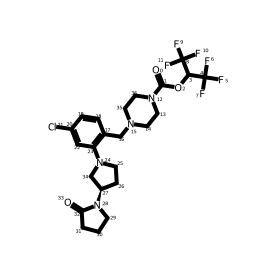 O=C(OC(C(F)(F)F)C(F)(F)F)N1CCN(Cc2ccc(Cl)cc2N2CC[C@@H](N3CCCC3=O)C2)CC1